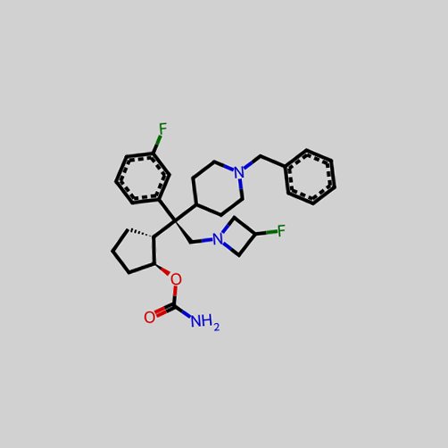 NC(=O)O[C@H]1CCC[C@@H]1[C@](CN1CC(F)C1)(c1cccc(F)c1)C1CCN(Cc2ccccc2)CC1